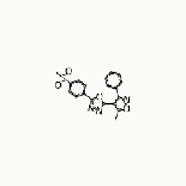 Cc1onc(-c2ccccc2)c1-c1nnc(-c2ccc(S(C)(=O)=O)cc2)o1